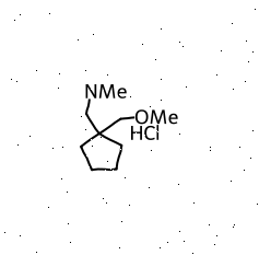 CNCC1(COC)CCCC1.Cl